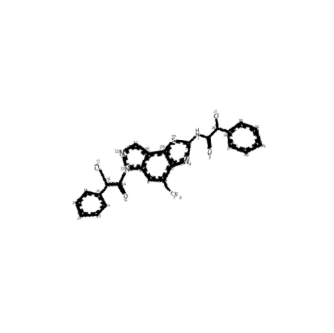 O=C(Nc1nc2c(C(F)(F)F)cc3c(cnn3C(=O)C(Cl)c3ccccc3)c2s1)C(Cl)c1ccccc1